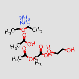 CC(=O)O.CC(=O)O.CC(=O)O.CCOCC.N.N.OCCO